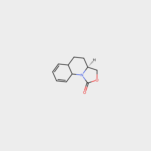 O=C1OC[C@@H]2CCC3C=CC=CC3N12